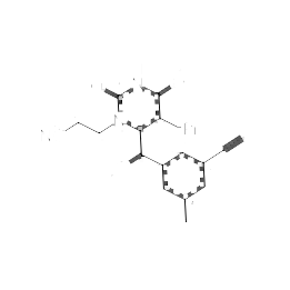 C#Cc1cc(C)cc(C(=O)c2c(C(C)C)c(=O)[nH]c(=O)n2CCC#N)c1